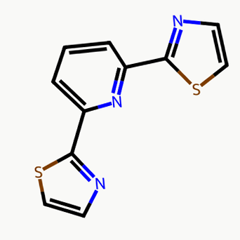 c1cc(-c2nccs2)nc(-c2nccs2)c1